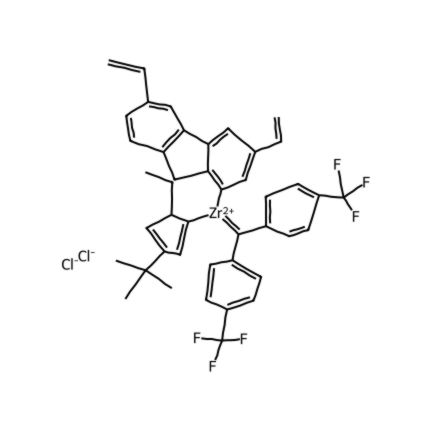 C=Cc1ccc2c(c1)-c1cc(C=C)c[c]([Zr+2]([C]3=CC(C(C)(C)C)=CC3CC)=[C](c3ccc(C(F)(F)F)cc3)c3ccc(C(F)(F)F)cc3)c1C2.[Cl-].[Cl-]